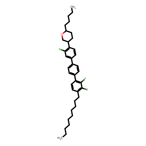 CCCCCCCCCCc1ccc(-c2ccc(-c3ccc(C4CCC(CCCCC)OC4)c(F)c3)cc2)c(F)c1F